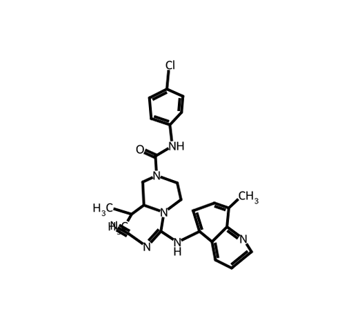 Cc1ccc(N/C(=N/C#N)N2CCN(C(=O)Nc3ccc(Cl)cc3)CC2C(C)C)c2cccnc12